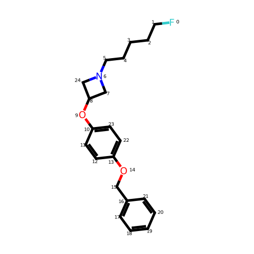 FCCCCCN1CC(Oc2ccc(OCc3ccccc3)cc2)C1